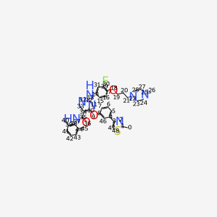 Cc1nc(-c2cccc(Oc3nc(Nc4ccc(OCCCN5CCN(C)CC5)c(F)c4)ncc3C(=O)Nc3c(C)cccc3C)c2)cs1